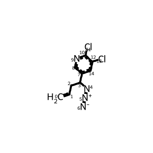 C=CCC(N=[N+]=[N-])c1cnc(Cl)c(Cl)c1